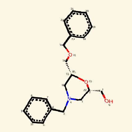 OC[C@@H]1CN(Cc2ccccc2)C[C@H](COCc2ccccc2)O1